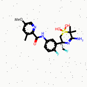 COc1cnc(C(=O)Nc2ccc(F)c([C@@]3(CF)CS(O)(O)C(C)(C)C(N)=N3)c2)c(C)c1